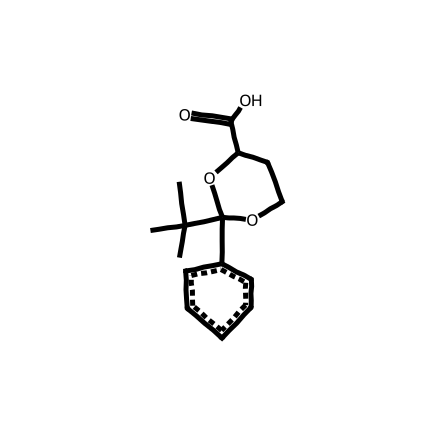 CC(C)(C)C1(c2ccccc2)OCCC(C(=O)O)O1